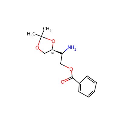 CC1(C)OC[C@H](C(N)COC(=O)c2ccccc2)O1